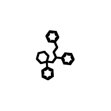 c1ccc(CCC(CC2(c3ccccc3)CCCCC2)c2ccccc2)cc1